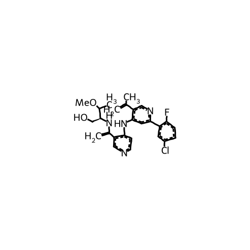 C=C(C)c1cnc(-c2cc(Cl)ccc2F)cc1Nc1ccncc1C(=C)N[C@@H](CO)C(C)OC